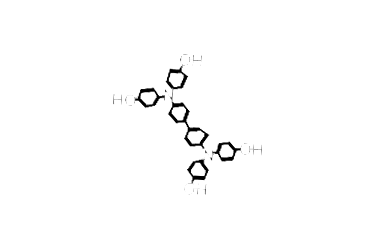 Oc1ccc(N(c2ccc(O)cc2)c2ccc(-c3ccc(N(c4ccc(O)cc4)c4ccc(O)cc4)cc3)cc2)cc1